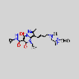 CCN(CC/C=C/c1c(C)nn2c(O)c(C(=O)NC3CC3)c(=O)n(CC(C)C)c12)CC(C)NC=O